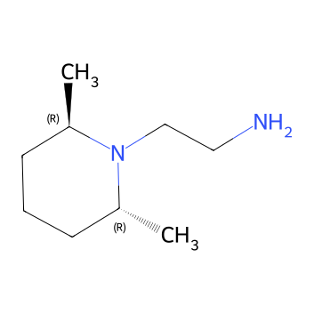 C[C@@H]1CCC[C@@H](C)N1CCN